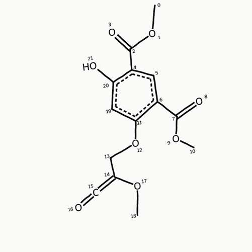 COC(=O)c1cc(C(=O)OC)c(OCC(=C=O)OC)cc1O